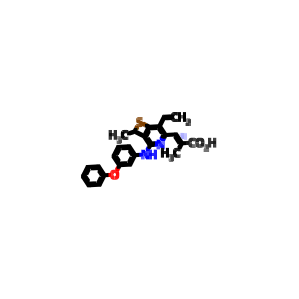 C=Cc1c(/C=C(\C)C(=O)O)nc(Nc2cccc(Oc3ccccc3)c2)c2c1SC2C